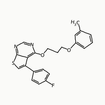 Cc1cccc(OCCCOc2ncnc3scc(-c4ccc(F)cc4)c23)c1